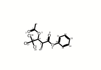 CC(=O)OC(C(F)C(=O)Oc1ccccc1)C(Cl)(Cl)Cl